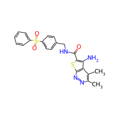 Cc1nnc2sc(C(=O)NCc3ccc(S(=O)(=O)c4ccccc4)cc3)c(N)c2c1C